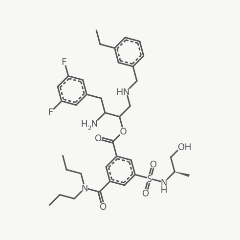 CCCN(CCC)C(=O)c1cc(C(=O)OC(CNCc2cccc(CC)c2)C(N)Cc2cc(F)cc(F)c2)cc(S(=O)(=O)N[C@H](C)CO)c1